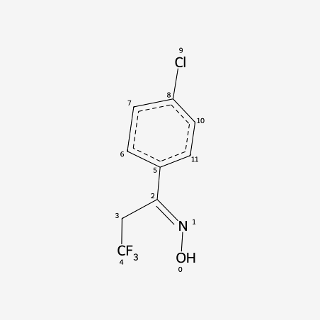 ON=C(CC(F)(F)F)c1ccc(Cl)cc1